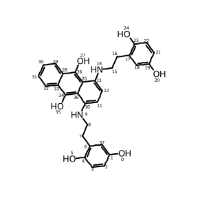 Oc1ccc(O)c(CCNc2ccc(NCCc3cc(O)ccc3O)c3c(O)c4ccccc4c(O)c23)c1